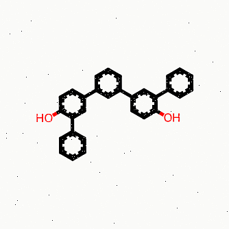 Oc1ccc(-c2cccc(-c3ccc(O)c(-c4ccccc4)c3)c2)cc1-c1ccccc1